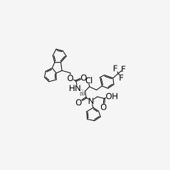 O=C(O)CN(C(=O)[C@H](NC(=O)OCC1c2ccccc2-c2ccccc21)C(Cl)Cc1ccc(C(F)(F)F)cc1)c1ccccc1